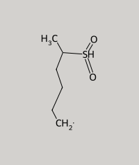 [CH2]CCCC(C)[SH](=O)=O